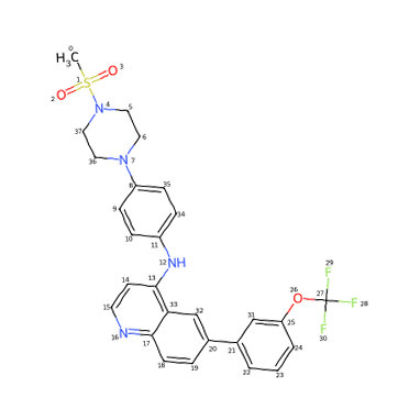 CS(=O)(=O)N1CCN(c2ccc(Nc3ccnc4ccc(-c5cccc(OC(F)(F)F)c5)cc34)cc2)CC1